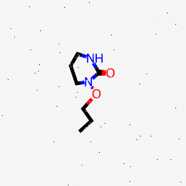 CCCON1CCCNC1=O